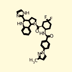 Cc1ccn(-c2ccc(C(=O)N[C@@H]3CCC(F)(F)C[C@@H]3C(=O)N3CCC4C(c5ncc[nH]5)Nc5ccccc5C43)cc2)n1